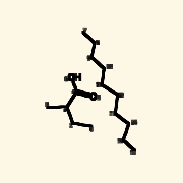 CCC(C)C(=O)O.CCCCCCCCCC